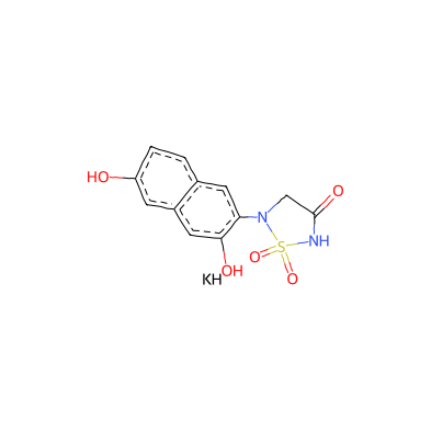 O=C1CN(c2cc3ccc(O)cc3cc2O)S(=O)(=O)N1.[KH]